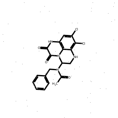 CC(=O)N(Cc1ccccc1)C1CNc2c(Cl)c(Cl)cc3[nH]c(=O)c(=O)n1c23